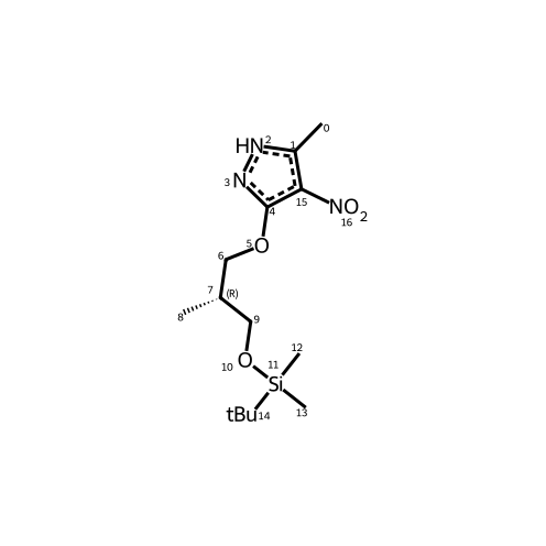 Cc1[nH]nc(OC[C@@H](C)CO[Si](C)(C)C(C)(C)C)c1[N+](=O)[O-]